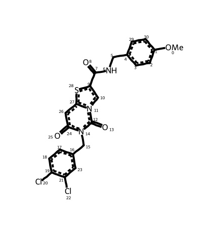 COc1ccc(CNC(=O)c2cn3c(=O)n(Cc4ccc(Cl)c(Cl)c4)c(=O)cc3s2)cc1